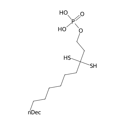 CCCCCCCCCCCCCCCCC(S)(S)CCOP(=O)(O)O